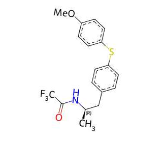 COc1ccc(Sc2ccc(C[C@@H](C)NC(=O)C(F)(F)F)cc2)cc1